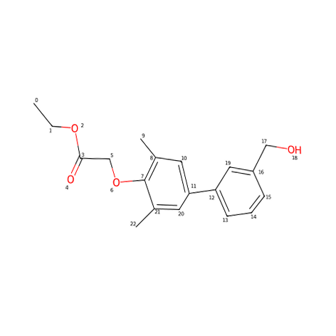 CCOC(=O)COc1c(C)cc(-c2cccc(CO)c2)cc1C